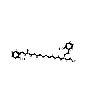 OCCN(CCCCCCCCCCCNCCc1ccccc1O)CCc1ccccc1O